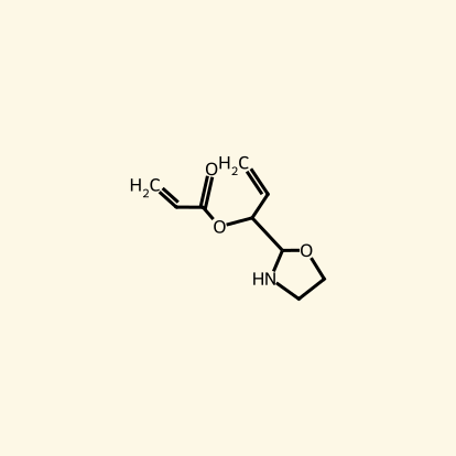 C=CC(=O)OC(C=C)C1NCCO1